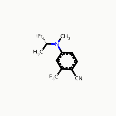 CC(C)[C@@H](C)N(C)c1ccc(C#N)c(C(F)(F)F)c1